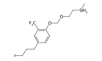 C[SiH2]CCOCOc1ccc(CCCI)cc1C(F)(F)F